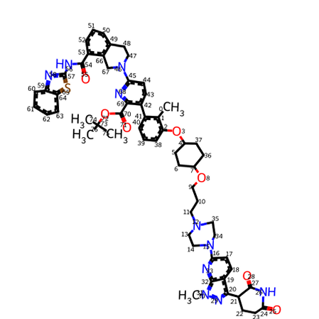 Cc1c(OC2CCC(OCCCN3CCN(c4ccc5c(C6CCC(=O)NC6=O)nn(C)c5n4)CC3)CC2)cccc1-c1ccc(N2CCc3cccc(C(=O)Nc4nc5ccccc5s4)c3C2)nc1C(=O)OC(C)(C)C